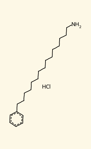 Cl.NCCCCCCCCCCCCCCCc1ccccc1